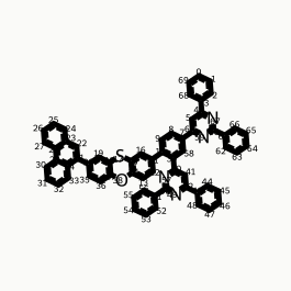 c1ccc(-c2cc(-c3ccc(-c4ccc5c(c4)Sc4cc(-c6cc7ccccc7c7ccccc67)ccc4O5)c(-c4cc(-c5ccccc5)nc(-c5ccccc5)n4)c3)nc(-c3ccccc3)n2)cc1